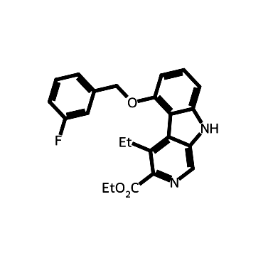 CCOC(=O)c1ncc2[nH]c3cccc(OCc4cccc(F)c4)c3c2c1CC